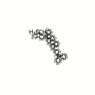 CC1(C)c2ccccc2-c2ccc(N(c3ccc(-c4ccc(-c5ccc(-n6c7ccccc7c7ccccc76)cc5)cc4)cc3)c3ccccc3-c3ccc(-c4ccccc4)cc3)cc21